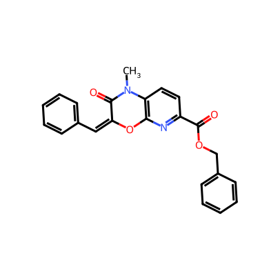 CN1C(=O)C(=Cc2ccccc2)Oc2nc(C(=O)OCc3ccccc3)ccc21